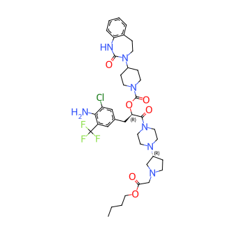 CCCCOC(=O)CN1CC[C@@H](N2CCN(C(=O)[C@@H](Cc3cc(Cl)c(N)c(C(F)(F)F)c3)OC(=O)N3CCC(N4CCc5ccccc5NC4=O)CC3)CC2)C1